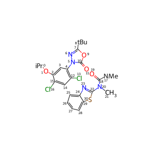 CC(C)Oc1cc(-n2nc(C(C)(C)C)oc2=O)c(Cl)cc1Cl.CNC(=O)N(C)c1nc2ccccc2s1